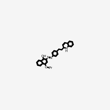 CC(C)Oc1cc(N=Nc2ccc(CCC3C=Cc4ccccc4N3)cc2)c(O)c2ccccc12